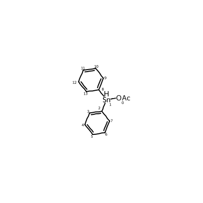 CC(=O)[O][SnH]([c]1ccccc1)[c]1ccccc1